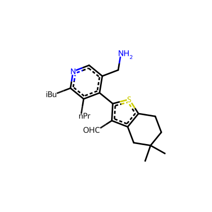 CCCc1c(C(C)CC)ncc(CN)c1-c1sc2c(c1C=O)CC(C)(C)CC2